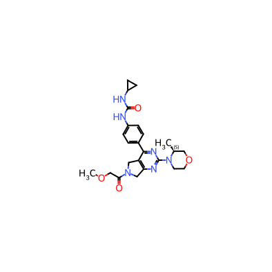 COCC(=O)N1Cc2nc(N3CCOC[C@@H]3C)nc(-c3ccc(NC(=O)NC4CC4)cc3)c2C1